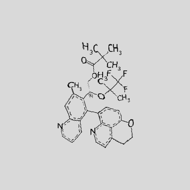 Cc1cc2ncccc2c(-c2ccc3c4c(ccnc24)CCO3)c1[C@H](COC(=O)C(C)(C)C)OC(C)(C)C(F)(F)F